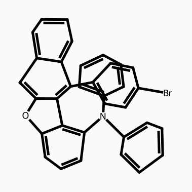 Brc1ccc(-c2c3ccccc3cc3oc4cccc(N(c5ccccc5)c5ccccc5)c4c23)cc1